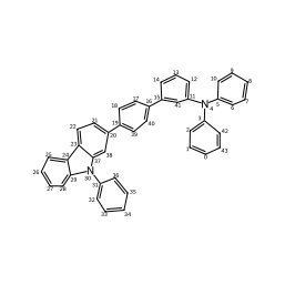 c1ccc(N(c2ccccc2)c2cccc(-c3ccc(-c4ccc5c6ccccc6n(-c6ccccc6)c5c4)cc3)c2)cc1